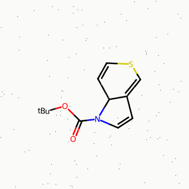 CC(C)(C)OC(=O)N1C=CC2=CSC=CC21